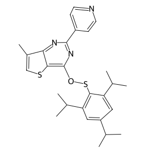 Cc1csc2c(OSc3c(C(C)C)cc(C(C)C)cc3C(C)C)nc(-c3ccncc3)nc12